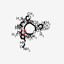 CC[C@H]1OC(=O)[C@H](C)[C@@H](O[C@H]2C[C@@](C)(OC)[C@@H](O)[C@H](C)O2)[C@H](C)[C@@H](O[C@@H]2O[C@H](C)C[C@H](N(C)CCC3=CN([C@H](CF)[C@H](OC)c4ccc(CNCC(N)=O)cc4)NN3)[C@H]2O)[C@](C)(O)C[C@@H](C)CN(C)[C@H](C)[C@@H](O)[C@]1(C)O